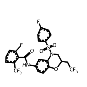 O=C(Nc1ccc2c(c1)N(S(=O)(=O)c1ccc(F)cc1)CC(CC(F)(F)F)O2)c1c(F)cccc1C(F)(F)F